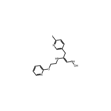 ON/C=C(\Cc1ccc(I)nc1)NCCOc1ccccn1